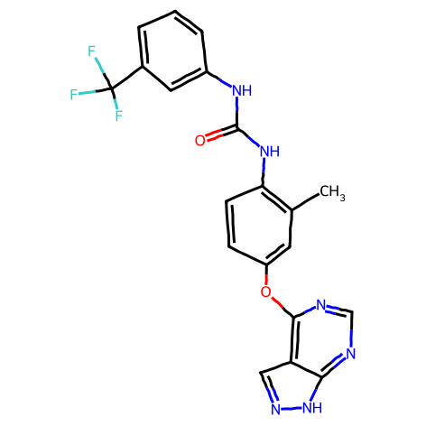 Cc1cc(Oc2ncnc3[nH]ncc23)ccc1NC(=O)Nc1cccc(C(F)(F)F)c1